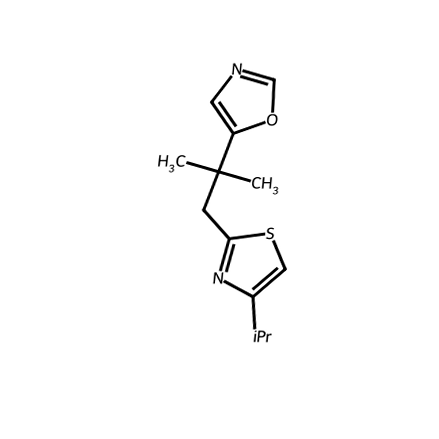 CC(C)c1csc(CC(C)(C)c2cnco2)n1